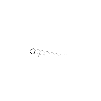 CCCCCCCCCCCCCCCCCCN(Cc1ccccc1)C(C)(O)O